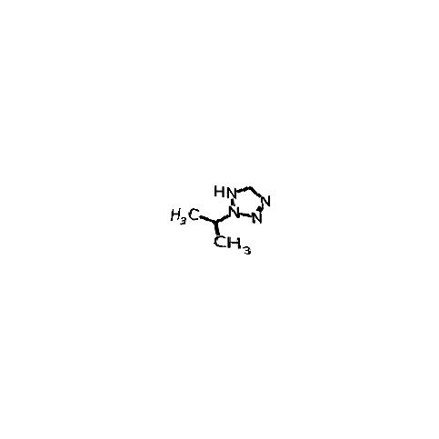 CC(C)N1N=NCN1